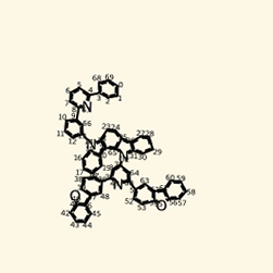 c1ccc(-c2cccc(-c3cccc(-n4c5ccccc5c5c4ccc4c6ccccc6n(-c6cc(-c7ccc8oc9ccccc9c8c7)nc(-c7ccc8oc9ccccc9c8c7)c6)c45)c3)n2)cc1